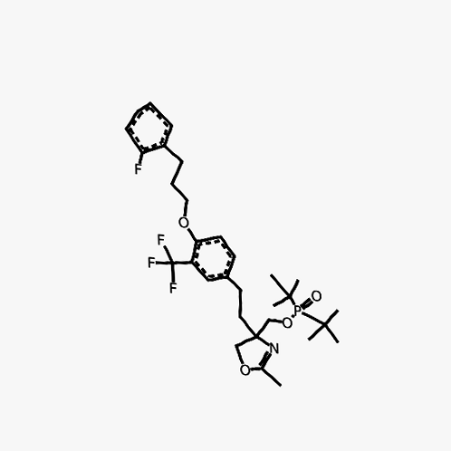 CC1=NC(CCc2ccc(OCCCc3ccccc3F)c(C(F)(F)F)c2)(COP(=O)(C(C)(C)C)C(C)(C)C)CO1